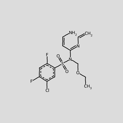 C=C/N=C(\C=C/N)N(COCC)S(=O)(=O)c1cc(Cl)c(F)cc1F